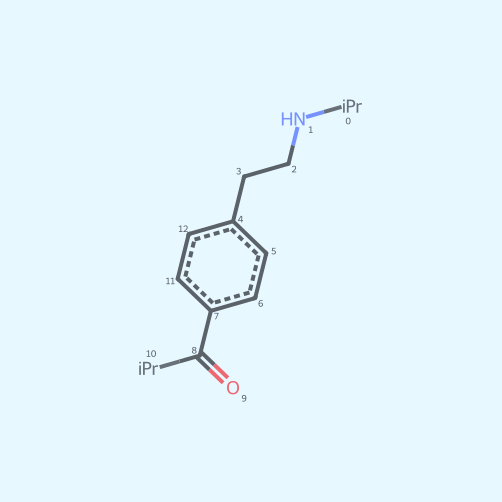 CC(C)NCCc1ccc(C(=O)C(C)C)cc1